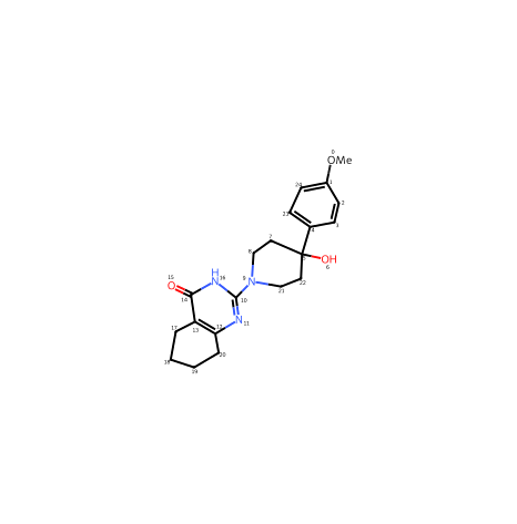 COc1ccc(C2(O)CCN(c3nc4c(c(=O)[nH]3)CCCC4)CC2)cc1